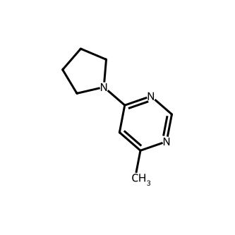 Cc1cc(N2CCCC2)ncn1